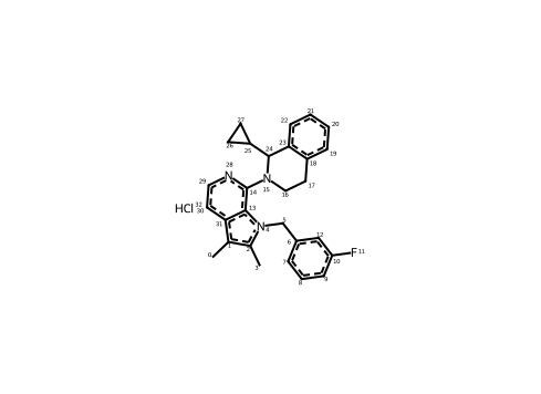 Cc1c(C)n(Cc2cccc(F)c2)c2c(N3CCc4ccccc4C3C3CC3)nccc12.Cl